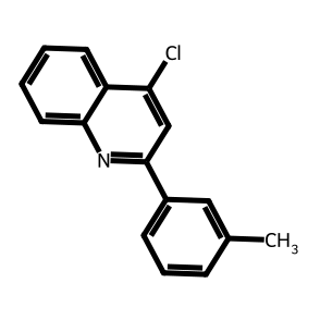 Cc1cccc(-c2cc(Cl)c3ccccc3n2)c1